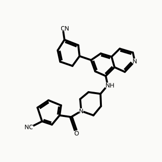 N#CC1=CC(c2cc(NC3CCN(C(=O)c4cccc(C#N)c4)CC3)c3cnccc3c2)CC=C1